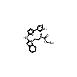 CC(C)(C)OC(=O)NCCn1c(Nc2ccc(-c3cn[nH]c3)s2)nc2ccccc21